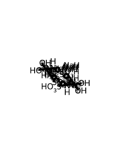 O=S(=O)(O)c1ccc(Nc2nc(Nc3ccc(C=Cc4ccc(Nc5nc(Nc6ccc(S(=O)(=O)O)cc6)nc(N(CCO)CCO)n5)cc4S(=O)(=O)O)c(S(=O)(=O)O)c3)nc(N(CCO)CCO)n2)cc1.[NaH].[NaH].[NaH].[NaH]